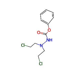 O=C(NN(CCCl)CCCl)Oc1ccccc1